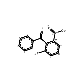 O=C(c1ccccc1)c1c(F)cccc1[N+](=O)[O-]